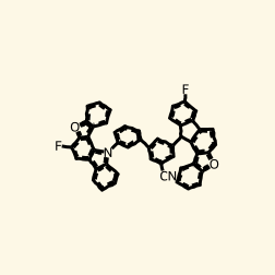 N#Cc1cc(-c2cccc(-n3c4ccccc4c4cc(F)c5oc6ccccc6c5c43)c2)cc(C2c3ccc(F)cc3-c3ccc4oc5ccccc5c4c32)c1